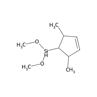 CO[SiH](OC)C1C(C)C=CC1C